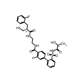 C[C@H](O)C(=O)NS(=O)(=O)c1ccccc1-c1ccc(C(=O)NCCNC(=O)[C@@H](CS)Cc2ccccc2F)c(F)c1